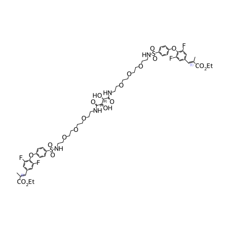 CCOC(=O)/C(C)=C/c1cc(F)c(Oc2ccc(S(=O)(=O)NCCOCCOCCOCCNC(=O)[C@H](O)[C@@H](O)C(=O)NCCOCCOCCOCCNS(=O)(=O)c3ccc(Oc4c(F)cc(/C=C(\C)C(=O)OCC)cc4F)cc3)cc2)c(F)c1